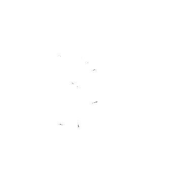 C=C(C)[C@@H]1CC[C@]2(COC(=O)COCC)CC[C@]3(C)[C@H](CC[C@@H]4[C@@]5(C)C=C(C#N)C(=O)C(C)(C)[C@@H]5CC[C@]43C)[C@@H]12